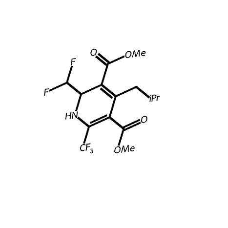 COC(=O)C1=C(C(F)(F)F)NC(C(F)F)C(C(=O)OC)=C1CC(C)C